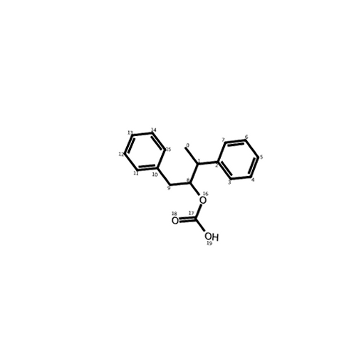 CC(c1ccccc1)C(Cc1ccccc1)OC(=O)O